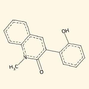 Cn1c(=O)c(-c2ccccc2O)cc2ccccc21